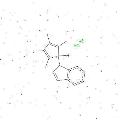 CC1=C(C)[C]([Hf])(C2C=Cc3ccccc32)C(C)=C1C.Cl.Cl